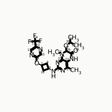 Cc1nc(N[C@H]2C[C@H](Oc3cnc(C(F)(F)F)cn3)C2)nc2c1NC(=O)C(OC(C)C)N2C